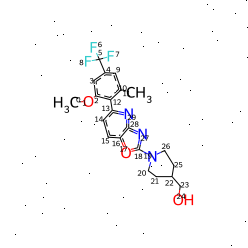 COc1cc(C(F)(F)F)cc(C)c1-c1ccc2oc(N3CCC(CO)CC3)nc2n1